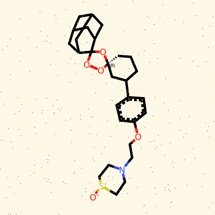 [O-][S+]1CCN(CCOc2ccc(C3CCC[C@]4(C3)OOC3(O4)C4CC5CC(C4)CC3C5)cc2)CC1